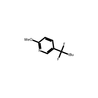 COc1ccc(C(F)(F)C(C)(C)C)cn1